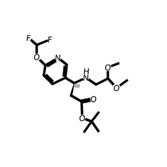 COC(CN[C@@H](CC(=O)OC(C)(C)C)c1ccc(OC(F)F)nc1)OC